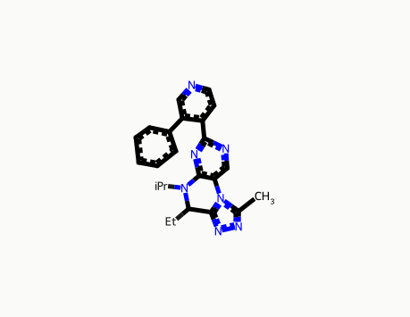 CCC1c2nnc(C)n2-c2cnc(-c3ccncc3-c3ccccc3)nc2N1C(C)C